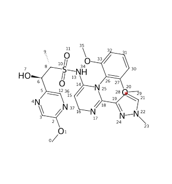 COc1cnc([C@@H](O)[C@H](C)S(=O)(=O)NC2=CCN=C(c3ccn(C)n3)N2c2c(OC)cccc2OC)cn1